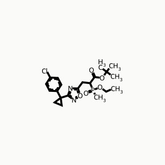 CCOP(C)(=O)C(Cc1nc(C2(c3ccc(Cl)cc3)CC2)no1)C(=O)OC(C)(C)C